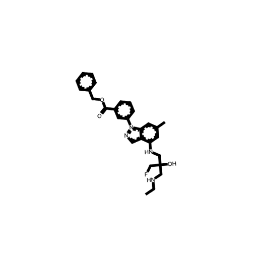 CCNCC(O)(CF)CNc1cc(C)cc2c1cnn2-c1cccc(C(=O)OCc2ccccc2)c1